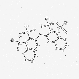 O=S(=O)(O)c1c(Cc2cc3ccccc3c(S(=O)(=O)O)c2S(=O)(=O)O)cc2ccccc2c1S(=O)(=O)O